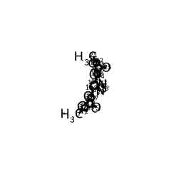 CC1=CC2C(=O)c3cc(-c4ccc(-c5cc6c(o5)-c5oc(C)cc5C6=O)c5nsnc45)oc3C2O1